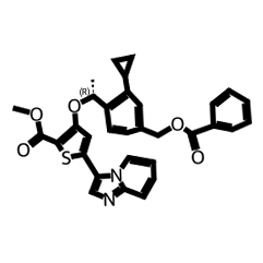 COC(=O)c1sc(-c2cnc3ccccn23)cc1O[C@H](C)c1ccc(COC(=O)c2ccccc2)cc1C1CC1